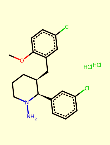 COc1ccc(Cl)cc1C[C@@H]1CCCN(N)[C@@H]1c1cccc(Cl)c1.Cl.Cl